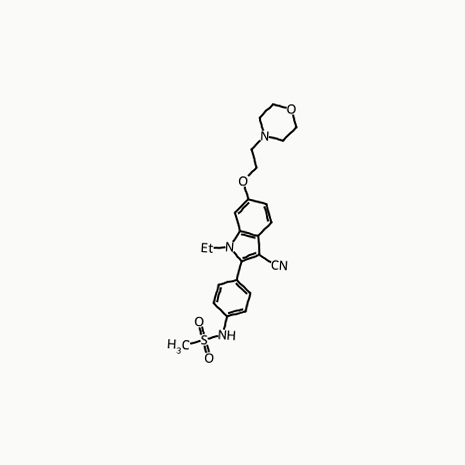 CCn1c(-c2ccc(NS(C)(=O)=O)cc2)c(C#N)c2ccc(OCCN3CCOCC3)cc21